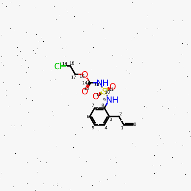 C=CCc1ccccc1NS(=O)(=O)NC(=O)OCCCl